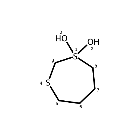 OS1(O)[CH]SCCCC1